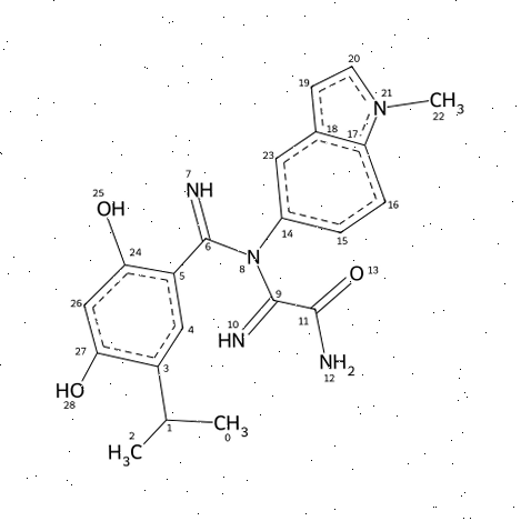 CC(C)c1cc(C(=N)N(C(=N)C(N)=O)c2ccc3c(ccn3C)c2)c(O)cc1O